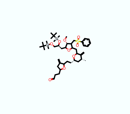 C=C1CC(CCC=O)OC1CC[C@H]1C[C@@H](C)C(=C)C(CC2OC(C[C@@H](CO[Si](C)(C)C(C)(C)C)O[Si](C)(C)C(C)(C)C)[C@H](OC)C2CS(=O)(=O)c2ccccc2)O1